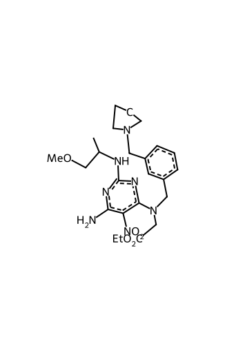 CCOC(=O)CN(Cc1cccc(CN2CCCC2)c1)c1nc(NC(C)COC)nc(N)c1[N+](=O)[O-]